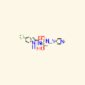 C[C@@H](O)[C@@H](NC(=O)c1cc2cc(Cl)ccc2[nH]1)C(=O)N1CCN(C2CCN(C)CC2)CC1